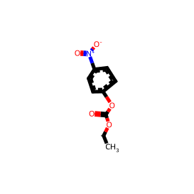 C[CH]OC(=O)Oc1ccc([N+](=O)[O-])cc1